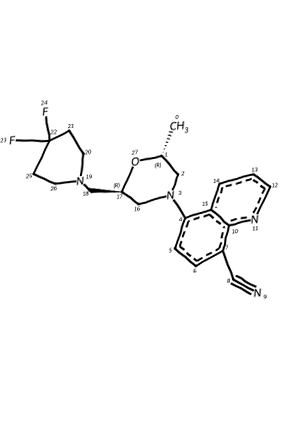 C[C@@H]1CN(c2ccc(C#N)c3ncccc23)C[C@@H](CN2CCC(F)(F)CC2)O1